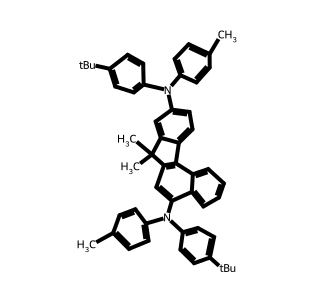 Cc1ccc(N(c2ccc(C(C)(C)C)cc2)c2ccc3c(c2)C(C)(C)c2cc(N(c4ccc(C)cc4)c4ccc(C(C)(C)C)cc4)c4ccccc4c2-3)cc1